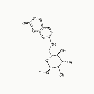 CO[C@H]1OC(CNc2ccc3ccc(=O)oc3c2)[C@@H](O)C(O)C1O